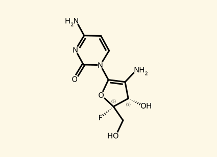 NC1=C(n2ccc(N)nc2=O)O[C@](F)(CO)[C@H]1O